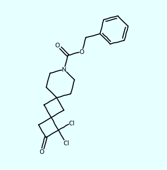 O=C(OCc1ccccc1)N1CCC2(CC1)CC1(CC(=O)C1(Cl)Cl)C2